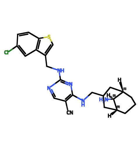 N#Cc1cnc(NCc2csc3ccc(Cl)cc23)nc1NCC1C[C@H]2CCC[C@@H](C1)[C@@H]2N